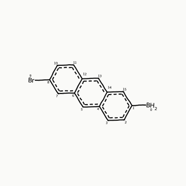 Bc1ccc2cc3cc(Br)ccc3cc2c1